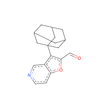 O=Cc1oc2ccncc2c1C12CC3CC(CC(C3)C1)C2